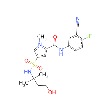 Cn1cc(S(=O)(=O)NC(C)(C)CCO)cc1C(=O)Nc1ccc(F)c(C#N)c1